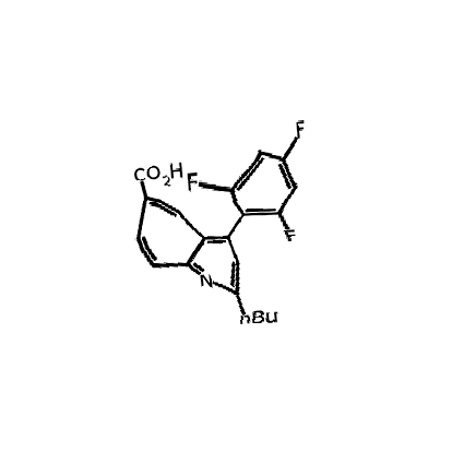 CCCCc1cc(-c2c(F)cc(F)cc2F)c2cc(C(=O)O)ccc2n1